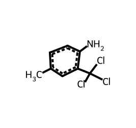 Cc1ccc(N)c(C(Cl)(Cl)Cl)c1